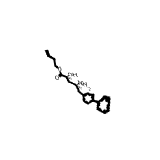 CCCCOC(=O)[C@H](O)C[C@H](N)Cc1ccc(-c2ccccc2)cc1